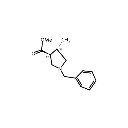 COC(=O)[C@@H]1CN(Cc2ccccc2)C[C@H]1C